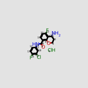 Cl.N[C@H]1CCOc2c(C(=O)Nc3ccc(F)c(Cl)c3)ccc(F)c21